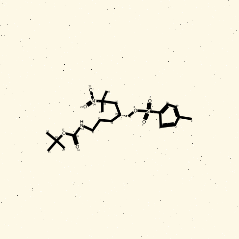 Cc1ccc(S(=O)(=O)OC[C@H](CCCNC(=O)OC(C)(C)C)CC(C)(C)[N+](=O)[O-])cc1